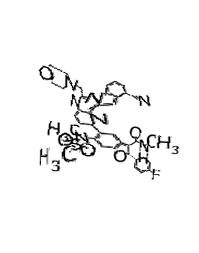 CNC(=O)c1c(-c2ccc(F)cc2)oc2cc(N(C)S(C)(=O)=O)c(-c3ccc4nc(CN5CCOCC5)n5c6cccc(C#N)c6cc5c4n3)cc12